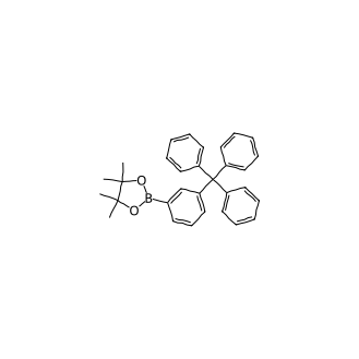 CC1(C)OB(c2cccc(C(c3ccccc3)(c3ccccc3)c3ccccc3)c2)OC1(C)C